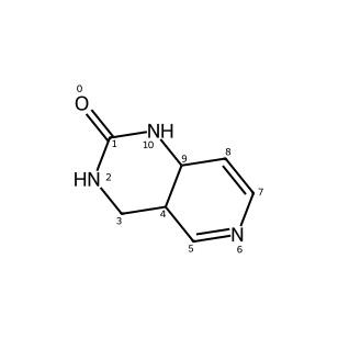 O=C1NCC2C=NC=CC2N1